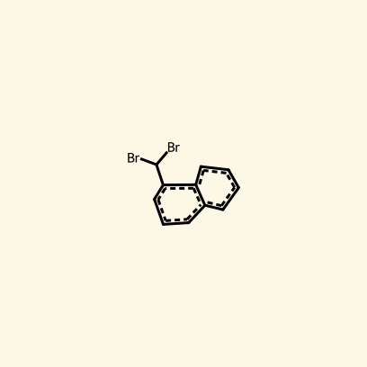 BrC(Br)c1cccc2ccccc12